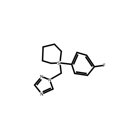 Fc1ccc([Si]2(Cn3cncn3)CCCCC2)cc1